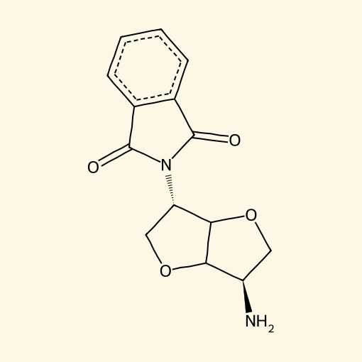 N[C@@H]1COC2C1OC[C@@H]2N1C(=O)c2ccccc2C1=O